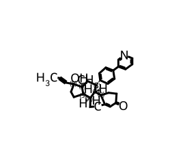 CC#C[C@]1(O)CC[C@H]2[C@@H]3CCC4=CC(=O)CC[C@@H]4[C@H]3[C@@H](c3ccc(-c4cccnc4)cc3)C[C@@]21C